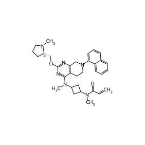 C=CC(=O)N(C)C1CC(N(C)c2nc(OC[C@@H]3CCCN3C)nc3c2CCN(c2cccc4ccccc24)C3)C1